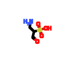 NCC(C=O)S(=O)(=O)O